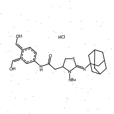 CCCCN1C(=NC23CC4CC(CC(C4)C2)C3)SCC1CC(=O)Nc1ccc(=CO)c(=CO)c1.Cl